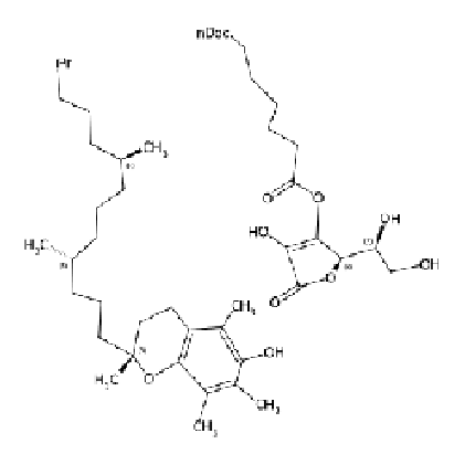 CCCCCCCCCCCCCCCC(=O)OC1=C(O)C(=O)O[C@@H]1[C@@H](O)CO.Cc1c(C)c2c(c(C)c1O)CC[C@@](C)(CCC[C@H](C)CCC[C@H](C)CCCC(C)C)O2